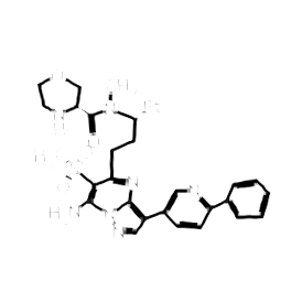 CC[C@H](CCc1nc2c(-c3ccc(-c4ccccc4)nc3)cnn2c(N)c1S(C)(=O)=O)N(C)C(=O)[C@@H]1COCCN1